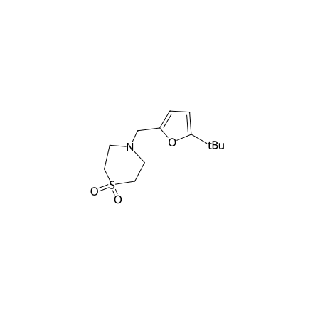 CC(C)(C)c1ccc(CN2CCS(=O)(=O)CC2)o1